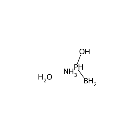 BPO.N.O